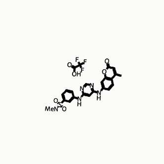 CNS(=O)(=O)c1cccc(Nc2cc(Nc3ccc4c(C)cc(=O)oc4c3)ncn2)c1.O=C(O)C(F)(F)F